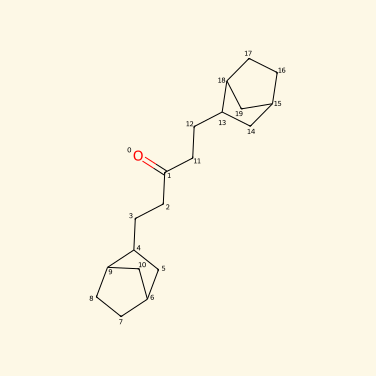 O=C(CCC1CC2CCC1C2)CCC1CC2CCC1C2